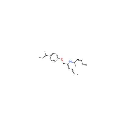 C=C\C=C/C(C)=N/C(=C\C=C\C)COc1ccc(C(C)CC)cc1